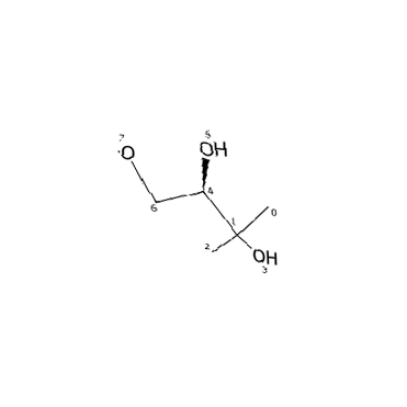 CC(C)(O)[C@H](O)C[O]